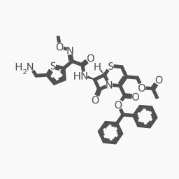 CO/N=C(/C(=O)N[C@@H]1C(=O)N2C(C(=O)OC(c3ccccc3)c3ccccc3)=C(COC(C)=O)CS[C@H]12)c1ccc(CN)s1